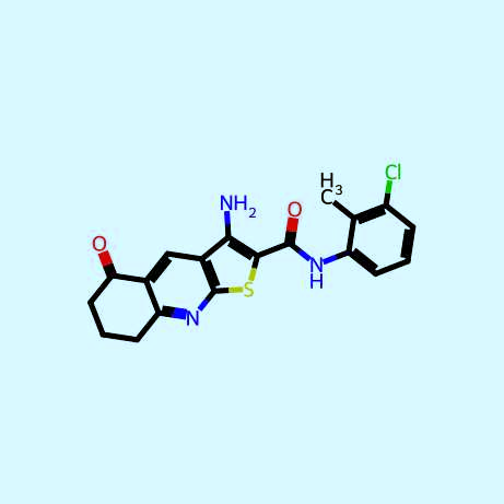 Cc1c(Cl)cccc1NC(=O)c1sc2nc3c(cc2c1N)C(=O)CCC3